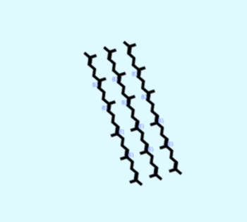 CC(C)=CCC/C(C)=C/CC/C(C)=C/CC/C=C(\C)CC/C=C(\C)CCC=C(C)C.CC(C)=CCC/C(C)=C/CC/C(C)=C/CC/C=C(\C)CC/C=C(\C)CCC=C(C)C.CC(C)=CCC/C(C)=C/CC/C(C)=C/CC/C=C(\C)CC/C=C(\C)CCC=C(C)C